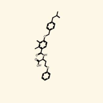 Cc1c(OCc2ccc(CC(C)C)cc2)ccc(C(=O)NC(CCOc2ccccc2)C(=O)O)c1C